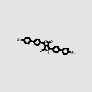 CC(C)(C)c1ccc(-c2ccc(C3=NC(=O)C4=C(c5ccc(-c6ccc(C(C)(C)C)cc6)cc5)NC(=O)C34)cc2)cc1